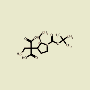 CC[C@@H]1C(C(CC)(C(=O)O)C(=O)O)CCN1C(=O)OC(C)(C)C